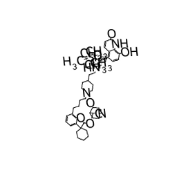 CC(C)(C)[Si](C)(C)O[C@@H](CNCCC1CCN(C(=O)CCCc2cccc(C3(C(=O)OC4CN5CCC4CC5)CCCCC3)c2)CC1)c1ccc(O)c2[nH]c(=O)ccc12